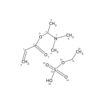 C=CC(=O)OC(C)N(C)C.CCOS(=O)(=O)O